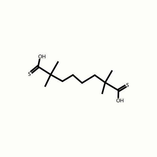 CC(C)(CCCCC(C)(C)C(O)=S)C(O)=S